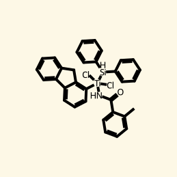 Cc1ccccc1C(=O)[NH][Ti]([Cl])([Cl])([c]1cccc2c1Cc1ccccc1-2)[SiH](c1ccccc1)c1ccccc1